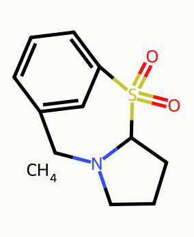 C.O=S1(=O)c2cccc(c2)CN2CCCC21